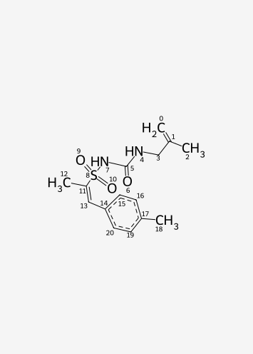 C=C(C)CNC(=O)NS(=O)(=O)C(C)=Cc1ccc(C)cc1